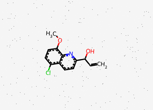 C=CC(O)c1ccc2c(Cl)ccc(OC)c2n1